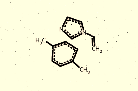 C=Cn1ccnc1.Cc1ccc(C)cc1